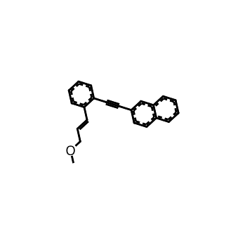 COC/C=C/c1ccccc1C#Cc1ccc2ccccc2c1